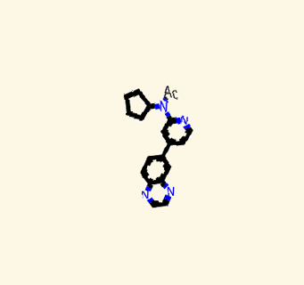 CC(=O)N(c1cc(-c2ccc3nccnc3c2)ccn1)C1CCCC1